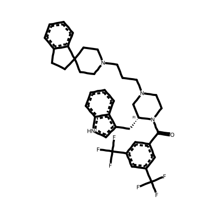 O=C(c1cc(C(F)(F)F)cc(C(F)(F)F)c1)N1CCN(CCCN2CCC3(CCc4ccccc43)CC2)C[C@H]1Cc1c[nH]c2ccccc12